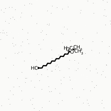 C#CCCCCCCCCCCCCCC(=O)OC(C)(C)C